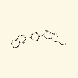 N/C(=C\N(N)c1ccc(-c2ccc3ccccc3n2)cc1)CCCF